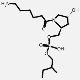 CCC(C)COP(=O)(O)OC[C@@H]1C[C@@H](O)CN1C(=O)CCCCCN